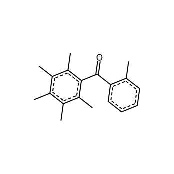 Cc1ccccc1C(=O)c1c(C)c(C)c(C)c(C)c1C